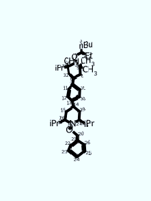 CCCCC(CC)ON1C(C)(C)CC(c2ccc(C3CC(C(C)C)N(OCc4ccccc4)C(C(C)C)C3)cc2)CC1(C)C(C)C